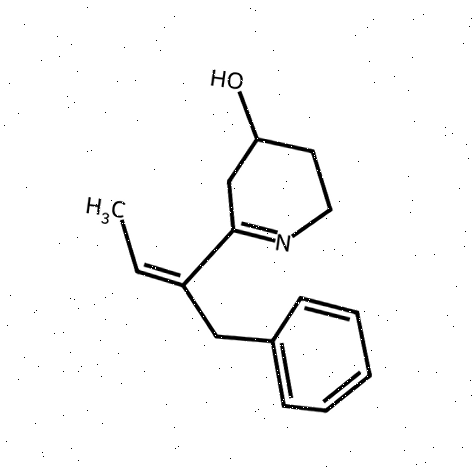 CC=C(Cc1ccccc1)C1=NCCC(O)C1